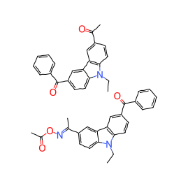 CCn1c2ccc(C(=O)c3ccccc3)cc2c2cc(C(C)=NOC(C)=O)ccc21.CCn1c2ccc(C(C)=O)cc2c2cc(C(=O)c3ccccc3)ccc21